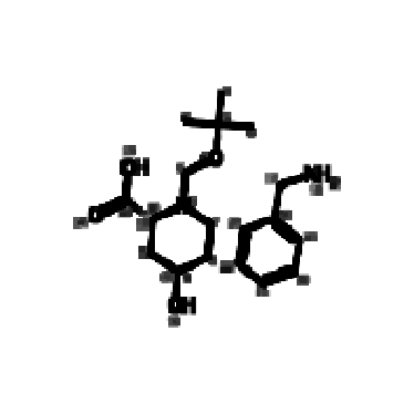 CC(C)(C)OCN1CC[C@@H](O)C[C@@H]1C(=O)O.NCc1ccccc1